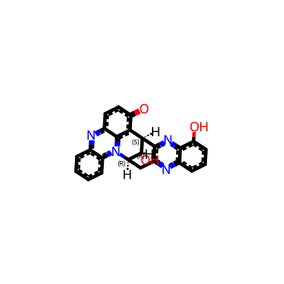 O=c1ccc2nc3ccccc3n3c-2c1[C@H]1c2nc4c(O)cccc4nc2C[C@@H]3[C@@H]1O